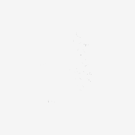 CCCCCCCCn1c2cc(C)ccc2c2ccc(-c3ccc(-c4c(OCCCCCCCC(=O)O)c(OCCCCCCCC(=O)O)c(-c5ccc(C)s5)c5nsnc45)s3)cc21